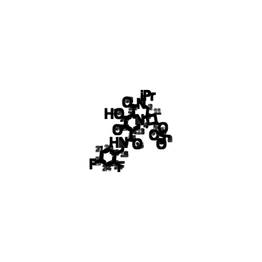 CC(C)N1CC2(CC(OS(C)(=O)=O)C2)n2cc(C(=O)NCc3ccc(F)cc3F)c(=O)c(O)c2C1=O